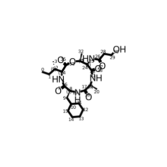 CC[C@H](C)[C@@H]1NC(=O)[C@H](CC2CCCCC2)NC(=O)[C@H](C)NC(=O)[C@H](NC(=O)CCO)[C@H](C)OC1=O